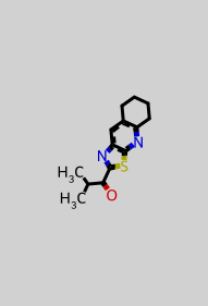 CC(C)C(=O)c1nc2cc3c(nc2s1)CCCC3